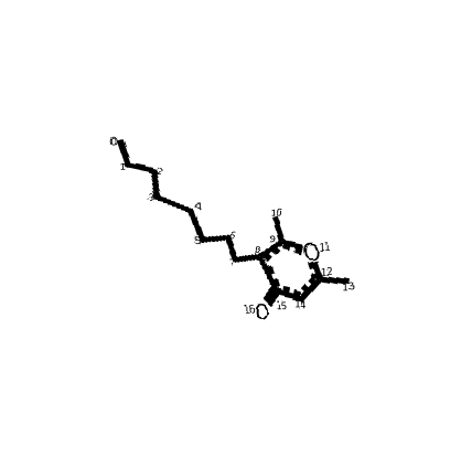 CCCCCCCCc1c(C)oc(C)cc1=O